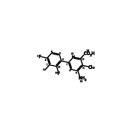 Cc1c(F)ccc(-c2cc(N)c(Cl)c(C(=O)O)n2)c1F